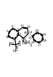 N[C@H]1c2c(cccc2C(F)(F)F)C=C[C@@H]1c1ccccc1